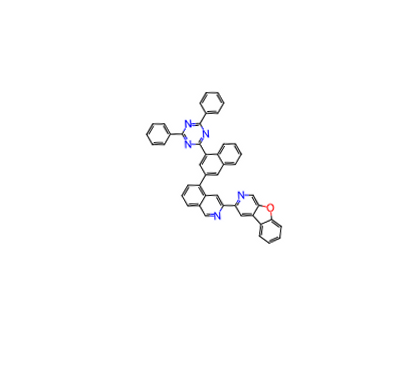 c1ccc(-c2nc(-c3ccccc3)nc(-c3cc(-c4cccc5cnc(-c6cc7c(cn6)oc6ccccc67)cc45)cc4ccccc34)n2)cc1